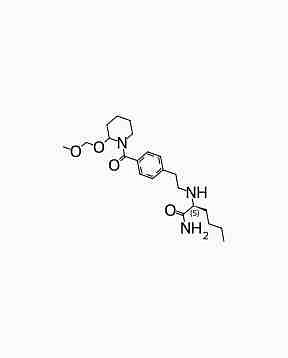 CCCC[C@H](NCCc1ccc(C(=O)N2CCCCC2OCOC)cc1)C(N)=O